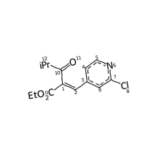 CCOC(=O)C(=Cc1ccnc(Cl)c1)C(=O)C(C)C